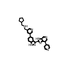 c1cc(-c2cncc3[nH]c(-c4n[nH]c5ccc(-c6cncc(CNCC7CCCC7)c6)cc45)nc23)ccn1